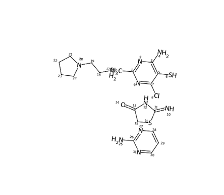 Cc1nc(N)c(S)c(Cl)n1.N=C1NC(=O)CS1.NCCN1CCCC1.Nc1ncccn1